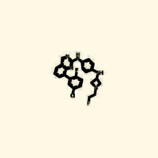 FCCN1CC(Nc2ccc(Nc3ncc4cccc(-c5cc(Cl)ccc5F)c4n3)cc2)C1